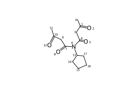 CC(=O)CC(=O)N(C(=O)CC(C)=O)C1CCCC1